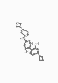 Cc1cc(N[C@@H]2CCCN(C3COC3)C2)nnc1-c1ccc(C2CCC2)cc1O